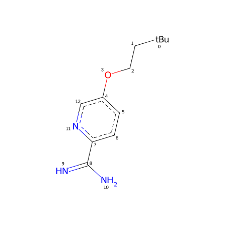 CC(C)(C)CCOc1ccc(C(=N)N)nc1